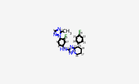 Cc1ncnn1-c1ccc(Nc2nc3n(n2)CCC[C@H]3c2ccc(F)cc2)cc1F